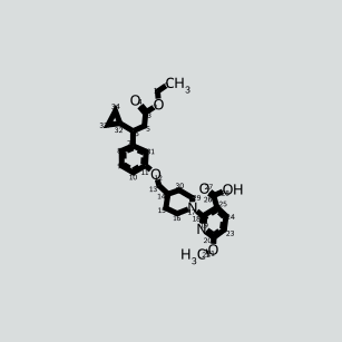 CCOC(=O)CC(c1cccc(OCC2CCN(c3nc(OC)ccc3C(=O)O)CC2)c1)C1CC1